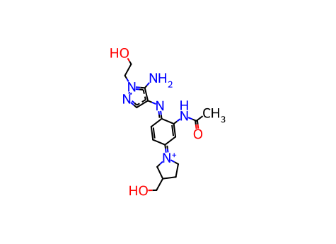 CC(=O)NC1=CC(=[N+]2CCC(CO)C2)C=CC1=Nc1cnn(CCO)c1N